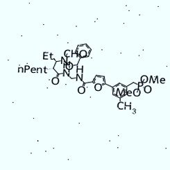 CCCCC[C@@H](C(=O)NCNC(=O)c1ccc(-c2cc(C)cc(CP(=O)(OC)OC)c2)o1)[C@@H](CC)N(C=O)OCc1ccccc1